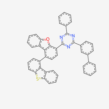 c1ccc(-c2cccc(-c3nc(-c4ccccc4)nc(-c4ccc(-c5cccc6sc7ccccc7c56)c5c4oc4ccccc45)n3)c2)cc1